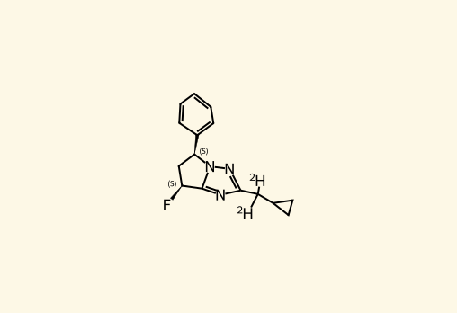 [2H]C([2H])(c1nc2n(n1)[C@H](c1ccccc1)C[C@@H]2F)C1CC1